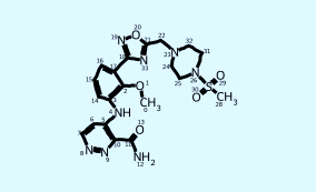 COc1c(Nc2ccnnc2C(N)=O)cccc1-c1noc(CN2CCN(S(C)(=O)=O)CC2)n1